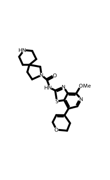 COc1ncc(C2=CCOCC2)c2sc(NC(=O)N3CCC4(CCNCC4)C3)nc12